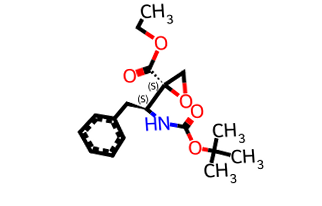 CCOC(=O)[C@]1([C@H](Cc2ccccc2)NC(=O)OC(C)(C)C)CO1